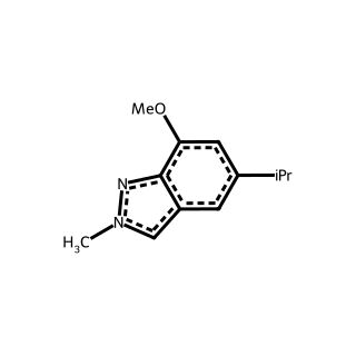 COc1cc(C(C)C)cc2cn(C)nc12